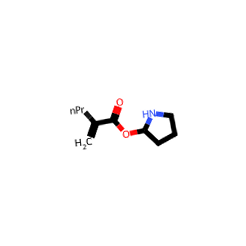 C=C(CCC)C(=O)OC1CCCN1